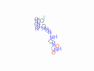 O=C1CCC(n2ccc3c(NCCN4CCN(c5cccc(-c6cnc7ccc(N8CCC[C@@H]8c8cccc(F)c8)nn67)n5)CC4)cccc32)C(=O)N1